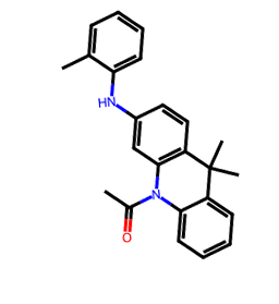 CC(=O)N1c2ccccc2C(C)(C)c2ccc(Nc3ccccc3C)cc21